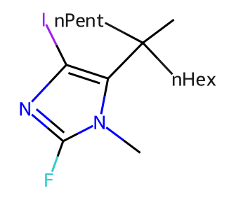 CCCCCCC(C)(CCCCC)c1c(I)nc(F)n1C